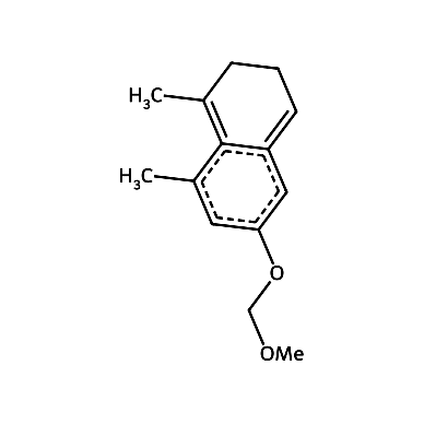 COCOc1cc(C)c2c(c1)=CCCC=2C